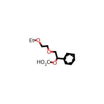 CCOCCOCC(OC(=O)O)c1ccccc1